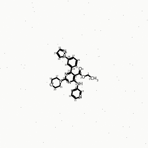 CCOC(=O)c1c(Nc2cccnc2)nc(N2CCOCC2)nc1-c1cccc(-n2cccn2)c1